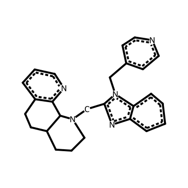 c1cnc2c(c1)CCC1CCCN(Cc3nc4ccccc4n3Cc3ccncc3)C21